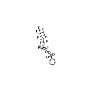 O=S(=O)(OOC(F)(F)C(F)(F)C(F)(F)C(F)(F)C(F)(F)C(F)(F)C(F)(F)F)c1ccccc1.[NaH]